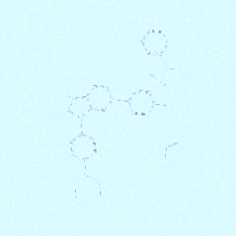 COc1ncc(-c2ccc3nc(N)n(-c4ccc(N5CCOCC5)cc4)c3c2)cc1S(=O)(=O)N(C)c1ccccc1.O=CO